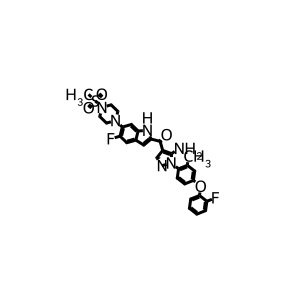 Cc1cc(Oc2ccccc2F)ccc1-n1ncc(C(=O)c2cc3cc(F)c(N4CCN(S(C)(=O)=O)CC4)cc3[nH]2)c1N